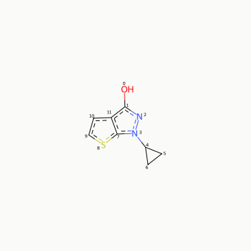 Oc1nn(C2CC2)c2sccc12